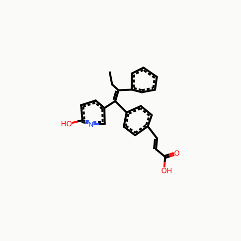 CCC(=C(c1ccc(C=CC(=O)O)cc1)c1ccc(O)nc1)c1ccccc1